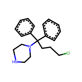 ClCCCC(c1ccccc1)(c1ccccc1)N1CCNCC1